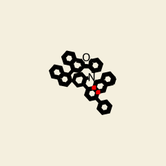 c1ccc2c(N(C3=C(c4ccc(-c5ccccc5)cc4)CCC=C3)c3cccc4oc5c6ccccc6c(-c6cccc7ccccc67)cc5c34)cccc2c#1